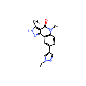 CCn1c(=O)c2c(C)[nH]nc2c2cc(-c3cnn(C)c3)ccc21